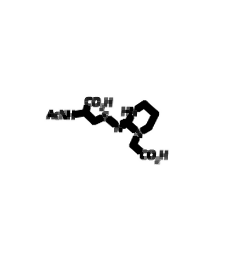 CC(=O)NC(CS/N=C1\NCCCN1CC(=O)O)C(=O)O